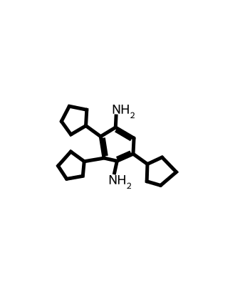 Nc1cc(C2CCCC2)c(N)c(C2CCCC2)c1C1CCCC1